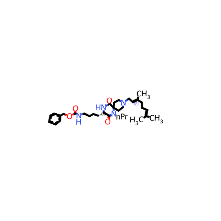 CCCN1C(=O)[C@H](CCCCNC(=O)OCc2ccccc2)NC(=O)C12CCN(C/C=C(\C)CCC=C(C)C)CC2